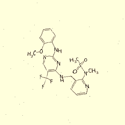 COc1ccccc1Nc1ncc(C(F)(F)F)c(NCc2cccnc2N(C)S(C)(=O)=O)n1